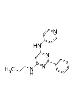 CCCNc1cc(Nc2ccncc2)nc(-c2ccccc2)n1